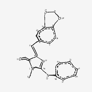 CN1C(=O)/C(=C/c2ccc3c(c2)OCO3)N=C1Sc1ccccc1